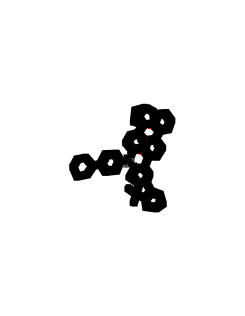 CC1(C)c2ccccc2-c2cc(-c3ccc(-c4ccccc4)cc3)c(N(c3ccc(C4CCCCC4)cc3)c3ccc(C45CCC(CC4)C5)cc3)cc21